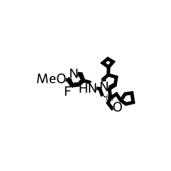 COc1ncc(CNCC[C@@]2(C3=CCC(C4CCC4)C=N3)CCOC3(CCCC3)C2)cc1F